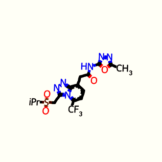 Cc1nnc(NC(=O)Cc2ccc(C(F)(F)F)n3c(CS(=O)(=O)C(C)C)nnc23)o1